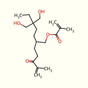 C=C(C)C(=O)CCC(CCC(CC)(CO)CO)COC(=O)C(=C)C